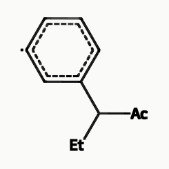 CCC(C(C)=O)c1c[c]ccc1